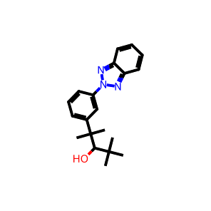 CC(C)(C)C(O)C(C)(C)c1cccc(-n2nc3ccccc3n2)c1